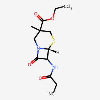 CC1(C(=O)OCC(Cl)(Cl)Cl)CS[C@@H]2C(NC(=O)CC#N)C(=O)N2C1